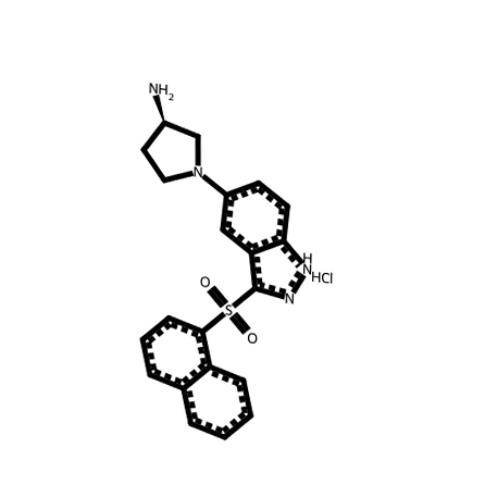 Cl.N[C@@H]1CCN(c2ccc3[nH]nc(S(=O)(=O)c4cccc5ccccc45)c3c2)C1